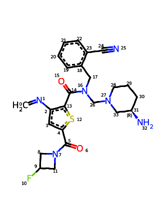 C=Nc1cc(C(=O)N2CC(F)C2)sc1C(=O)N(Cc1ccccc1C#N)CN1CCC[C@@H](N)C1